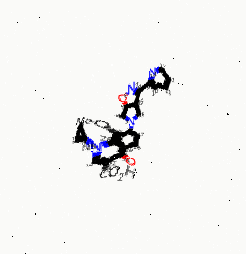 COc1c(N2CC3ON=C(c4ccccn4)C3C2)ccc2c(=O)c(C(=O)O)cn(C3CC3)c12